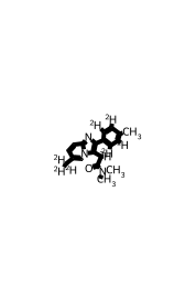 [2H]c1c([2H])c(-c2nc3ccc(C([2H])([2H])[2H])cn3c2C([2H])C(=O)N(C)C)c([2H])c([2H])c1C